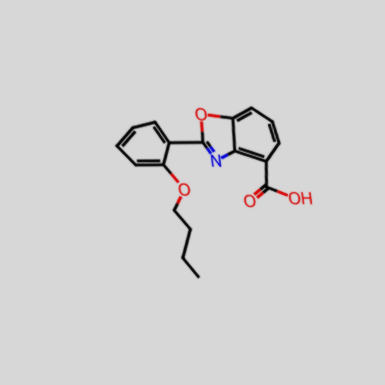 CCCCOc1ccccc1-c1nc2c(C(=O)O)cccc2o1